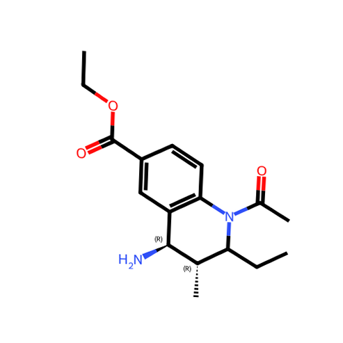 CCOC(=O)c1ccc2c(c1)[C@H](N)[C@@H](C)C(CC)N2C(C)=O